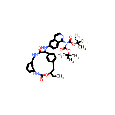 CCC1Cc2ccc(cc2)C(Nc2ccc3c(N(C(=O)OC(C)(C)C)C(=O)OC(C)(C)C)nccc3c2)C(=O)NCc2cccc(c2)NC(=O)O1